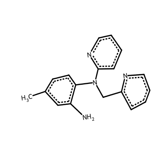 Cc1ccc(N(Cc2ccccn2)c2ccccn2)c(N)c1